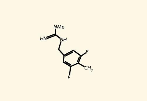 CNC(=N)NCc1cc(F)c(C)c(F)c1